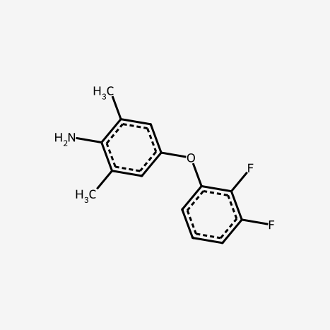 Cc1cc(Oc2cccc(F)c2F)cc(C)c1N